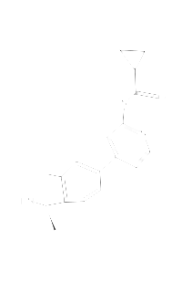 Cc1cc(-c2ccnc(NC(=O)C3CC3)c2)ccc1[C@@H](C)N.Cl